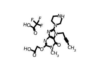 CC#CCn1c(N2CCNCC2)nc2nc(OCC(=O)O)n(C)c(=O)c21.O=C(O)C(F)(F)F